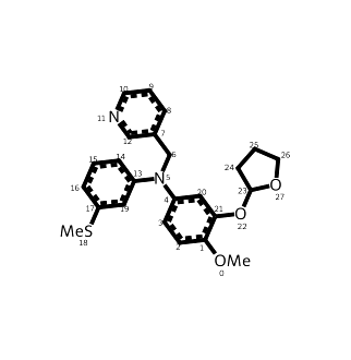 COc1ccc(N(Cc2cccnc2)c2cccc(SC)c2)cc1OC1CCCO1